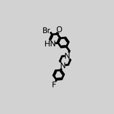 O=c1c(Br)c[nH]c2cc(CN3CCN(c4ccc(F)cc4)CC3)ccc12